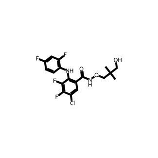 CC(C)(CO)CONC(=O)c1cc(Cl)c(F)c(F)c1Nc1ccc(F)cc1F